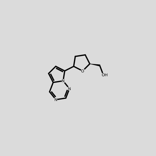 OC[C@@H]1CCC(c2ccc3cncnn23)O1